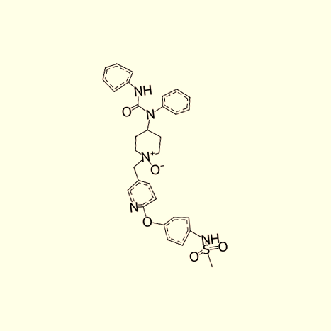 CS(=O)(=O)Nc1ccc(Oc2ccc(C[N+]3([O-])CCC(N(C(=O)Nc4ccccc4)c4ccccc4)CC3)cn2)cc1